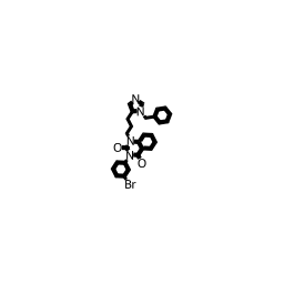 O=c1c2ccccc2n(CCCc2cncn2Cc2ccccc2)c(=O)n1-c1cccc(Br)c1